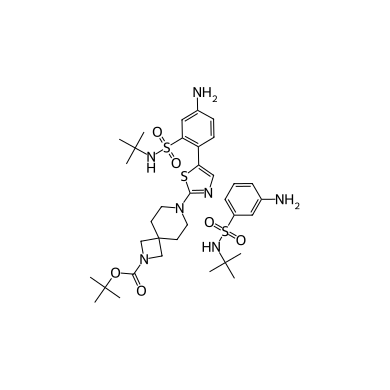 CC(C)(C)NS(=O)(=O)c1cc(N)ccc1-c1cnc(N2CCC3(CC2)CN(C(=O)OC(C)(C)C)C3)s1.CC(C)(C)NS(=O)(=O)c1cccc(N)c1